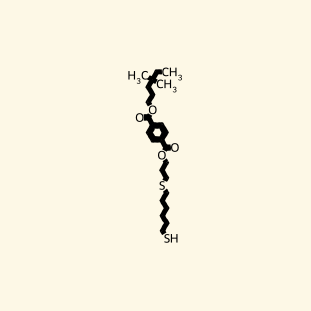 CCC(C)(C)CCCOC(=O)c1ccc(C(=O)OCCCSCCCCCCS)cc1